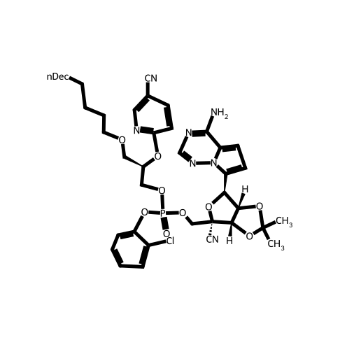 CCCCCCCCCCCCCCOC[C@H](COP(=O)(OC[C@@]1(C#N)O[C@@H](c2ccc3c(N)ncnn23)[C@@H]2OC(C)(C)O[C@@H]21)Oc1ccccc1Cl)Oc1ccc(C#N)cn1